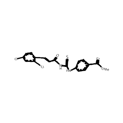 COC(=O)c1ccc(NC(=S)NC(=O)/C=C/c2ccc(Cl)cc2Cl)cc1